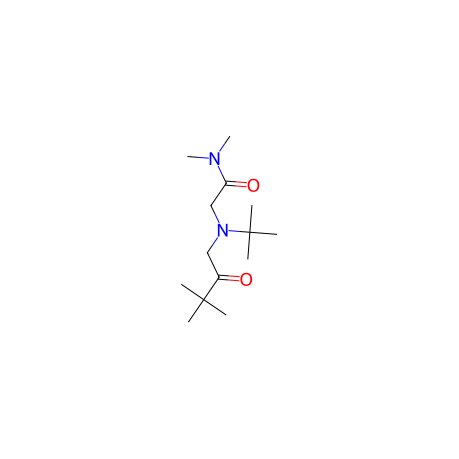 CN(C)C(=O)CN(CC(=O)C(C)(C)C)C(C)(C)C